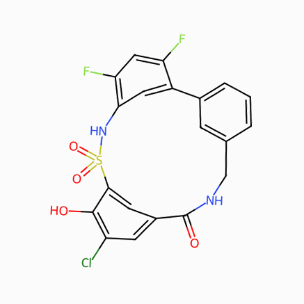 O=C1NCc2cccc(c2)-c2cc(c(F)cc2F)NS(=O)(=O)c2cc1cc(Cl)c2O